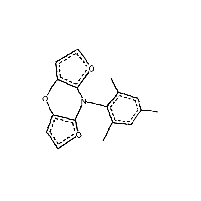 Cc1cc(C)c(N2c3occc3Oc3ccoc32)c(C)c1